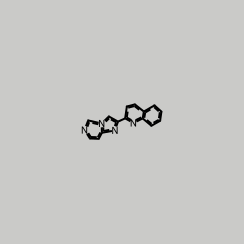 c1ccc2nc(-c3cn4cnccc4n3)ccc2c1